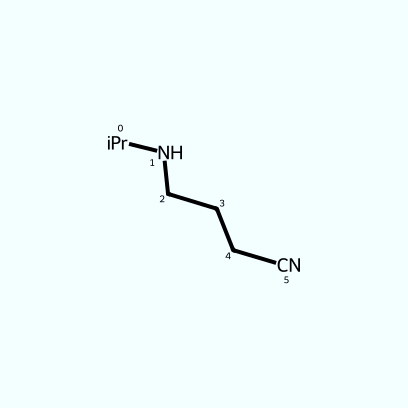 CC(C)NCCCC#N